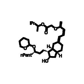 C=C(/C=C\C=C1/CC[C@H]2C[C@@H](O)[C@H](CC[C@H](CCCCC)OC3CCCCO3)[C@H]2C1)OCC(=O)OC(C)C(C)C